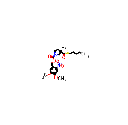 CCCCCSC(=O)C1(C)CCN(C(=O)OCc2cc(OC)c(OC)cc2[N+](=O)[O-])C1